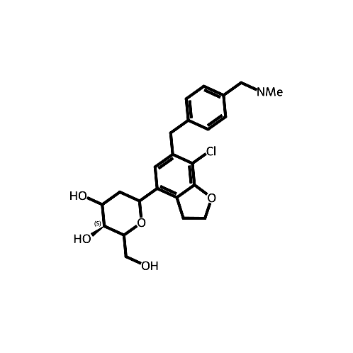 CNCc1ccc(Cc2cc(C3CC(O)[C@H](O)C(CO)O3)c3c(c2Cl)OCC3)cc1